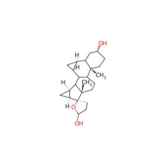 C[C@]12CC[C@H](O)CC1[C@@H]1C[C@@H]1C1C2CC[C@@]2(C)C1[C@@H]1C[C@@H]1[C@@]21CCC(O)O1